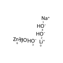 [Li+].[Na+].[OH-].[OH-].[OH-].[OH-].[Zn+2]